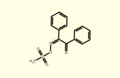 CS(=O)(=O)O/N=C(\C(=O)c1ccccc1)c1ccccc1